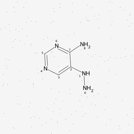 NNc1cncnc1N